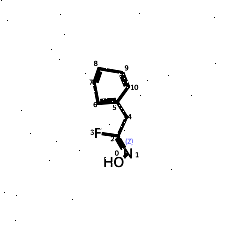 O/N=C(\F)Cc1ccccc1